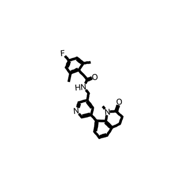 Cc1cc(F)cc(C)c1C(=O)NCc1cncc(-c2cccc3c2N(C)C(=O)CC3)c1